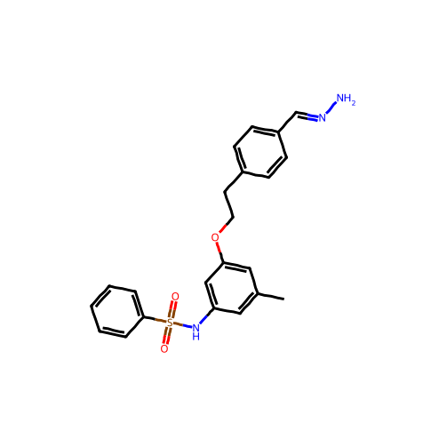 Cc1cc(NS(=O)(=O)c2ccccc2)cc(OCCc2ccc(C=NN)cc2)c1